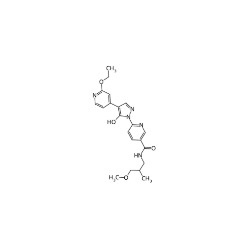 CCOc1cc(-c2cnn(-c3ccc(C(=O)NCC(C)COC)cn3)c2O)ccn1